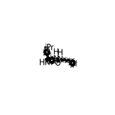 CC(C)N1CC=C(c2c[nH]c3ccc(NC(=O)NCCCCc4ccccc4)cc23)CC1